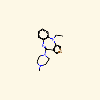 CCN1c2ccccc2N=C(N2CCN(C)CC2)c2cscc21